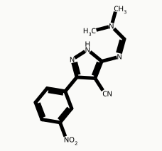 CN(C)/C=N\c1[nH]nc(-c2cccc([N+](=O)[O-])c2)c1C#N